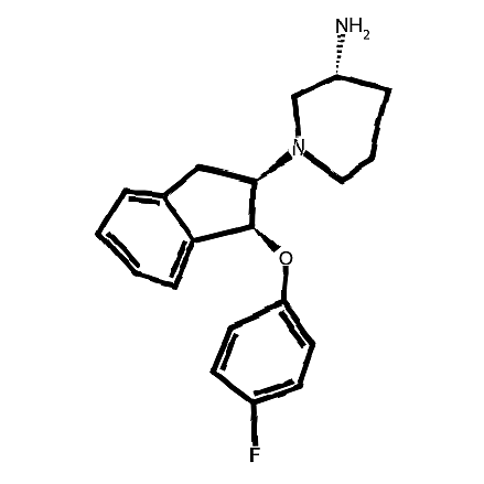 N[C@@H]1CCCN([C@@H]2Cc3ccccc3[C@@H]2Oc2ccc(F)cc2)C1